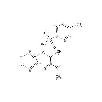 COC(=O)C(O)C(NS(=O)(=O)c1ccc(C)cc1)c1ccccc1